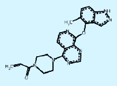 C=CC(=O)N1CCN(c2ncnc3c(Oc4c(C)ccc5[nH]ncc45)nccc23)CC1